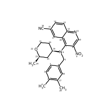 Cc1ccc(CN(c2c([N+](=O)[O-])cnc3ccc(C#N)cc23)[C@@H]2CCO[C@H](C)C2)cc1C